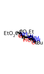 CCOC(=O)CC[C@@H](NC(=O)c1csc(C#CN2C=Nc3[nH]c(NC(=O)C(C)(C)C)cc3C2O)c1)C(=O)OCC